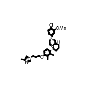 COc1cc(N2CCN3[C@@H](CCC[C@@H]3c3ccc(OCCCn4cnc(C)c4)c(C)c3C)C2)ccc1Cl